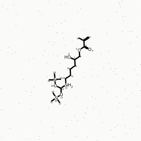 C=C(C)C(=O)OCC(O)CCCC[SiH2]C(O[Si](C)(C)C)O[Si](C)(C)C